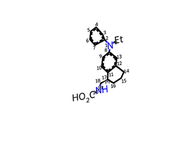 CCN(c1ccccc1)c1ccc2c(c1)CCC[C@H]2CNC(=O)O